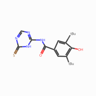 CC(C)(C)c1cc(C(=O)Nc2ncnc(=S)[nH]2)cc(C(C)(C)C)c1O